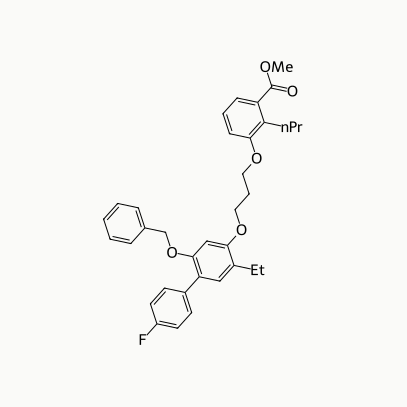 CCCc1c(OCCCOc2cc(OCc3ccccc3)c(-c3ccc(F)cc3)cc2CC)cccc1C(=O)OC